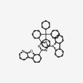 c1ccc(C(c2ccccc2)(c2ccccc2)c2ccccc2-c2nc(-c3cccc4c3oc3ncccc34)nc(-n3c4ccccc4c4ccccc43)n2)cc1